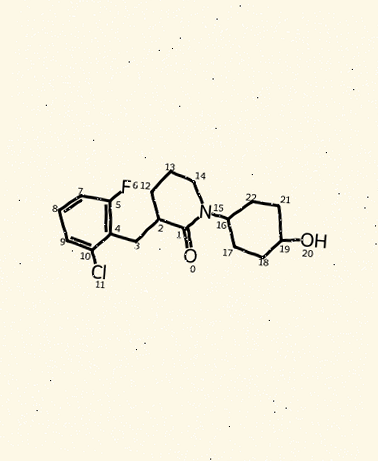 O=C1C(Cc2c(F)cccc2Cl)CCCN1C1CCC(O)CC1